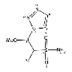 COC(C(C)S(N)(=O)=O)n1ccnn1